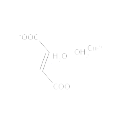 O.O.O=C([O-])/C=C/C(=O)[O-].[Cu+2]